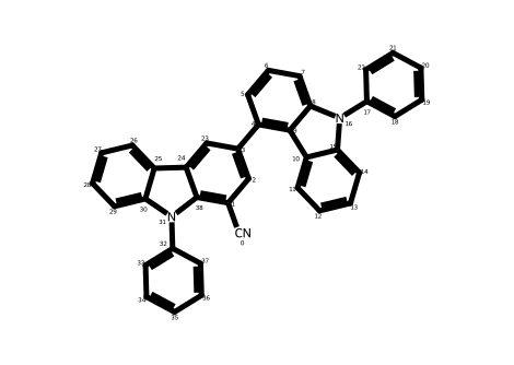 N#Cc1cc(-c2cccc3c2c2ccccc2n3-c2ccccc2)cc2c3ccccc3n(-c3ccccc3)c12